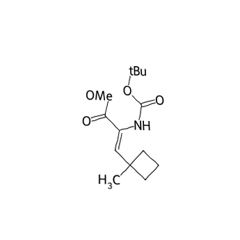 COC(=O)C(=CC1(C)CCC1)NC(=O)OC(C)(C)C